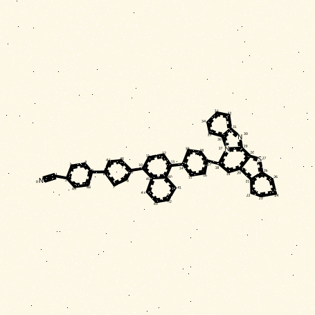 N#Cc1ccc(-c2ccc(-c3ccc(-c4ccc(-c5cc6c7ccccc7sc6c6nc7ccccc7n56)cc4)c4ccccc34)cc2)cc1